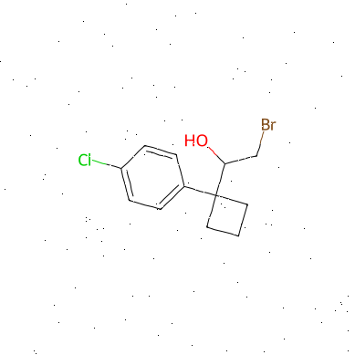 OC(CBr)C1(c2ccc(Cl)cc2)CCC1